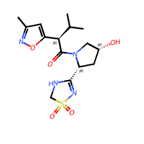 Cc1cc([C@H](C(=O)N2C[C@H](O)C[C@@H]2C2=NS(=O)(=O)CN2)C(C)C)on1